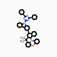 CC1(C)c2ccccc2N(c2ccccc2Br)c2c1cc(-c1ccc3c(c1)c1ccccc1n3-c1nc(-c3ccccc3)nc(-c3ccccc3)n1)c1ccccc21